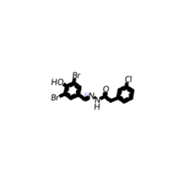 O=C(Cc1cccc(Cl)c1)N/N=C/c1cc(Br)c(O)c(Br)c1